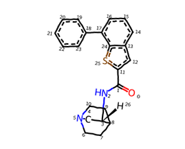 O=C(N[C@H]1CN2CCC1CC2)c1cc2cccc(-c3ccccc3)c2s1